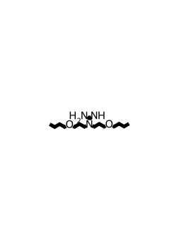 CCCCOCCCN(CCCOCCCC)C(=N)N